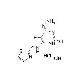 Cl.Cl.N/N=c1\nc(Cl)[nH]c(NCc2nccs2)c1F